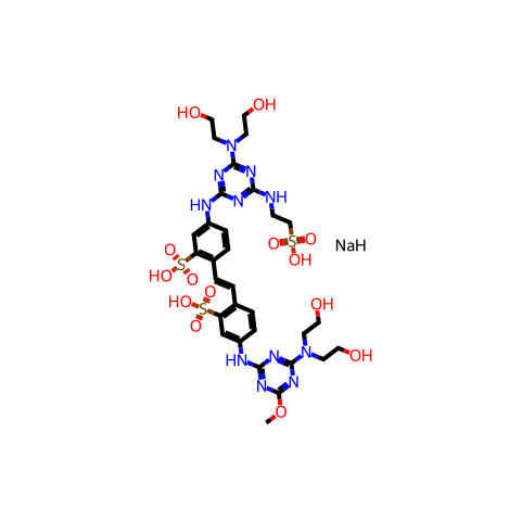 COc1nc(Nc2ccc(/C=C/c3ccc(Nc4nc(NCCS(=O)(=O)O)nc(N(CCO)CCO)n4)cc3S(=O)(=O)O)c(S(=O)(=O)O)c2)nc(N(CCO)CCO)n1.[NaH]